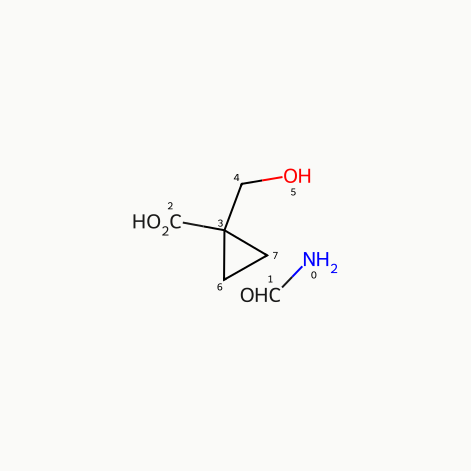 NC=O.O=C(O)C1(CO)CC1